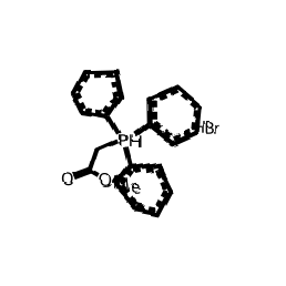 Br.COC(=O)C[PH](c1ccccc1)(c1ccccc1)c1ccccc1